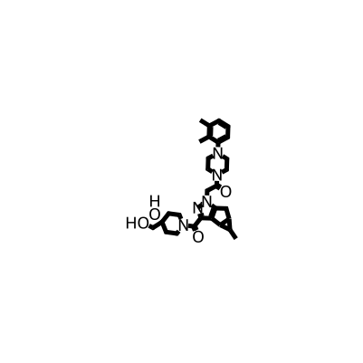 Cc1cccc(N2CCN(C(=O)Cn3nc(C(=O)N4CCC(O)(CO)CC4)c4c3CC3C(C)C43)CC2)c1C